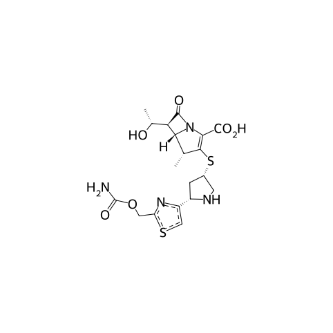 C[C@@H](O)[C@H]1C(=O)N2C(C(=O)O)=C(S[C@@H]3CN[C@H](c4csc(COC(N)=O)n4)C3)[C@H](C)[C@H]12